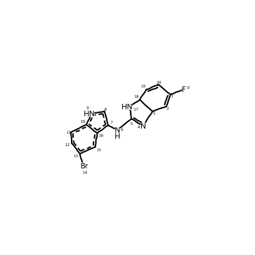 FC1=CC2N=C(Nc3c[nH]c4ccc(Br)cc34)NC2C=C1